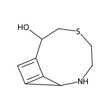 OC1CSCCNC2C3=C2C1=C3